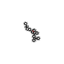 c1ccc(-c2nc3c(ccc4cc(-c5ccc(N(c6ccc7c8ccccc8n(-c8ccccc8)c7c6)c6ccccc6-c6ccccc6)cc5)ccc43)o2)cc1